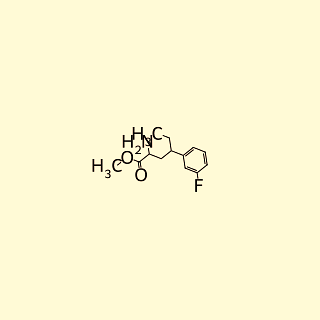 CCC(CC(N)C(=O)OC)c1cccc(F)c1